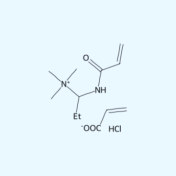 C=CC(=O)NC(CC)[N+](C)(C)C.C=CC(=O)[O-].Cl